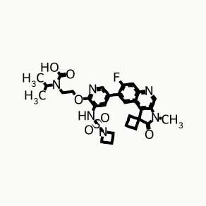 CC(C)N(CCOc1ncc(-c2cc3c4c(cnc3cc2F)N(C)C(=O)C42CCC2)cc1NS(=O)(=O)N1CCC1)C(=O)O